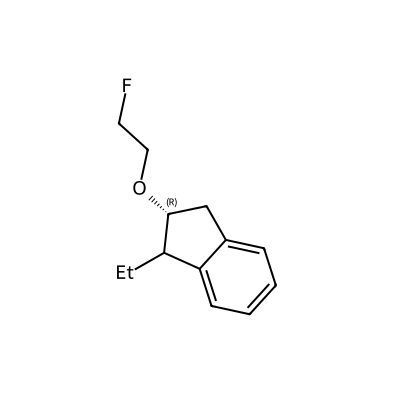 CCC1c2ccccc2C[C@H]1OCCF